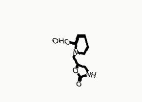 O=CC1CCCCN1CC1CNC(=O)O1